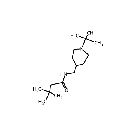 CC(C)(C)CC(=O)NCC1CCN(C(C)(C)C)CC1